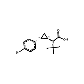 CC(C)(C)N(C(=O)O)[C@@H]1C[C@H]1c1ccc(Br)cc1